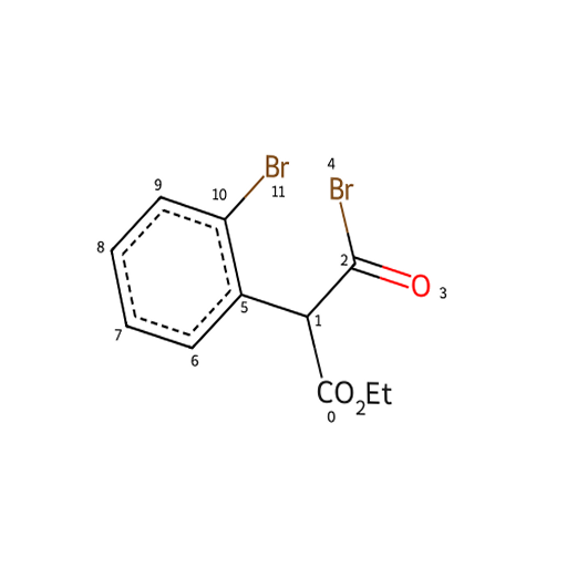 CCOC(=O)C(C(=O)Br)c1ccccc1Br